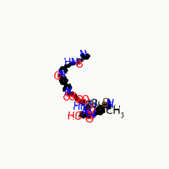 Cc1ncsc1-c1ccc(CNC(=O)[C@@H]2C[C@@H](O)CN2C(=O)[C@@H](NC(=O)COCCOCC(=O)N2CCC(c3ccc(C(=O)N4CCC(CCCCNC(=O)/C=C/c5cccnc5)CC4)cc3)CC2)C(C)(C)C)cc1